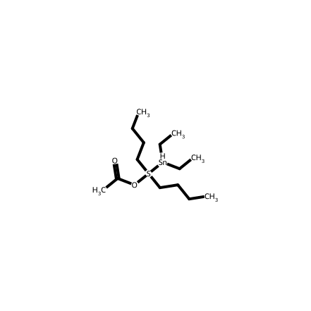 CCCC[S](CCCC)(OC(C)=O)[SnH]([CH2]C)[CH2]C